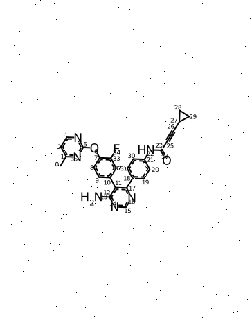 Cc1ccnc(Oc2ccc(-c3c(N)ncnc3-c3ccc(NC(=O)C#CC4CC4)cc3)cc2F)n1